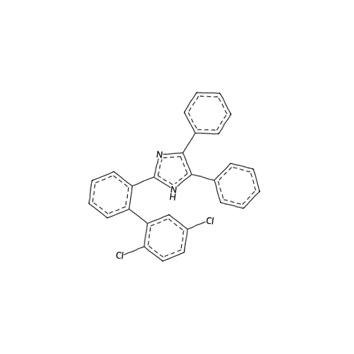 Clc1ccc(Cl)c(-c2ccccc2-c2nc(-c3ccccc3)c(-c3ccccc3)[nH]2)c1